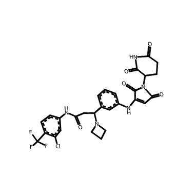 O=C1CCC(N2C(=O)C=C(Nc3cccc(C(CC(=O)Nc4ccc(C(F)(F)F)c(Cl)c4)N4CCC4)c3)C2=O)C(=O)N1